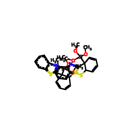 CO[Si](OC)(OC)C1(c2nc3ccccc3s2)C=CC=CC1SSC1C=CC=CC1(c1nc2ccccc2s1)[Si](OC)(OC)OC